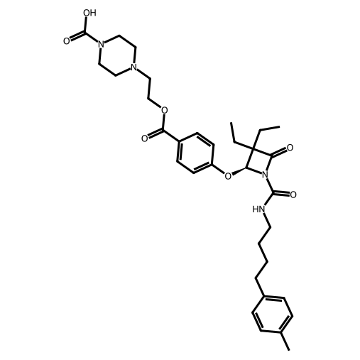 CCC1(CC)C(=O)N(C(=O)NCCCCc2ccc(C)cc2)[C@H]1Oc1ccc(C(=O)OCCN2CCN(C(=O)O)CC2)cc1